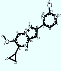 COc1cn2nc(-c3ccnc(Cl)n3)cc2nc1C1CC1